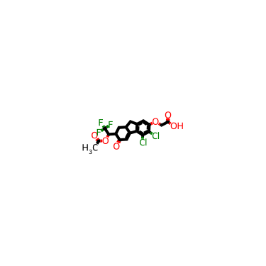 CC(=O)OC(C1CC2Cc3cc(OCC(=O)O)c(Cl)c(Cl)c3C2=CC1=O)C(F)(F)F